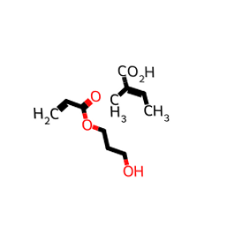 C=CC(=O)OCCCO.CC=C(C)C(=O)O